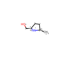 C[C@@H]1CC[C@H](CO)N1